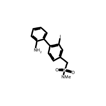 CNS(=O)(=O)Cc1ccc(-c2ccccc2N)c(I)c1